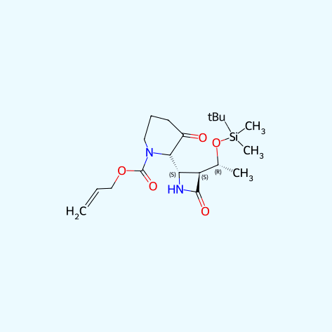 C=CCOC(=O)N1CCCC(=O)C1[C@H]1NC(=O)[C@@H]1[C@@H](C)O[Si](C)(C)C(C)(C)C